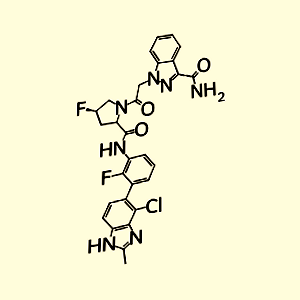 Cc1nc2c(Cl)c(-c3cccc(NC(=O)C4C[C@@H](F)CN4C(=O)Cn4nc(C(N)=O)c5ccccc54)c3F)ccc2[nH]1